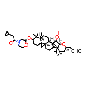 C[C@@H]1C[C@H](CC=O)O[C@H]2[C@H]1[C@@]1(C)CC[C@@]34CC35CCC(O[C@H]3CN(C(=O)CC6CC6)CCO3)C(C)(C)[C@@H]5CC[C@H]4[C@]1(C)[C@H]2O